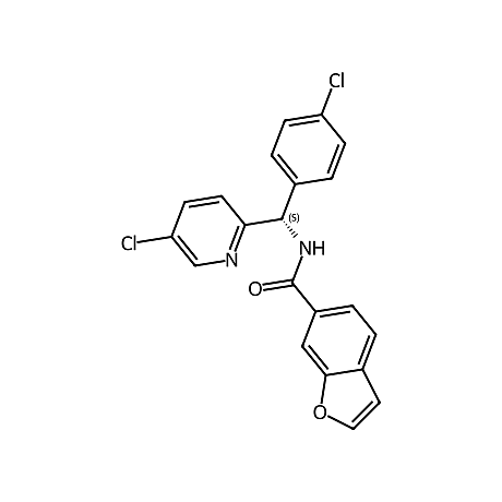 O=C(N[C@@H](c1ccc(Cl)cc1)c1ccc(Cl)cn1)c1ccc2ccoc2c1